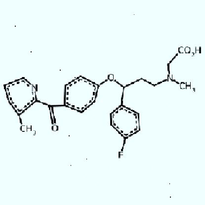 Cc1cccnc1C(=O)c1ccc(OC(CCN(C)CC(=O)O)c2ccc(F)cc2)cc1